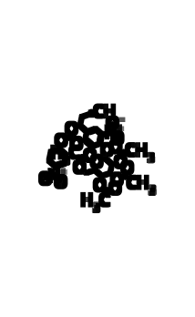 C#CCC(OC(=O)Oc1ccc([N+](=O)[O-])cc1)c1ccc(O[C@@H]2OC(COC(C)=O)[C@H](OC(C)=O)C(OC(C)=O)C2OC(C)=O)c([N+](=O)[O-])c1